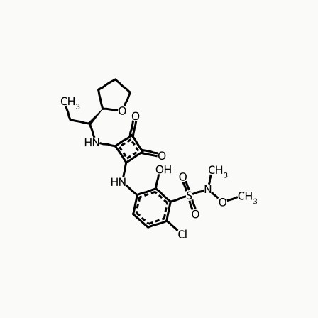 CCC(Nc1c(Nc2ccc(Cl)c(S(=O)(=O)N(C)OC)c2O)c(=O)c1=O)[C@H]1CCCO1